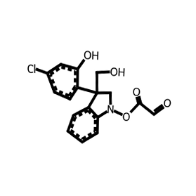 O=CC(=O)ON1CC(CO)(c2ccc(Cl)cc2O)c2ccccc21